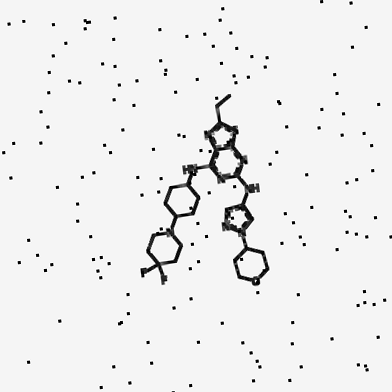 CCc1nc2c(NC3CCC(N4CCC(F)(F)CC4)CC3)nc(Nc3cnn(C4CCOCC4)c3)nc2s1